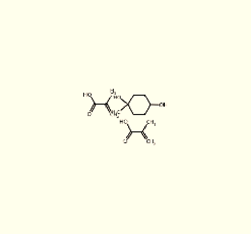 C=C(C)C(=O)O.C=C(C)C(=O)O.CC1(O)CCC(O)CC1